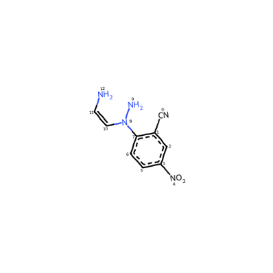 N#Cc1cc([N+](=O)[O-])ccc1N(N)/C=C\N